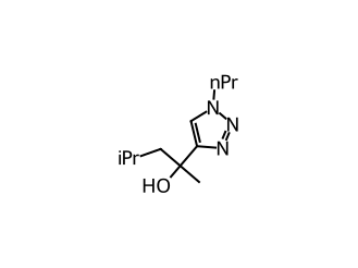 [CH2]CCn1cc(C(C)(O)CC(C)C)nn1